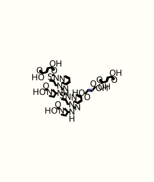 O=C(O)/C=C/C(=O)O.O=C(O)C=CC(=O)O.O=C(O)C=CC(=O)O.O=C(O)N1CCC(Nc2nc3cccnc3n2Cc2cscn2)C1.O=C(O)N1CCC(Nc2nc3cccnc3n2Cc2cscn2)C1